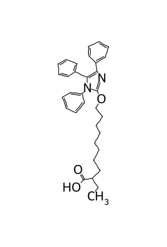 CCC(CCCCCCCCOc1nc(-c2ccccc2)c(-c2ccccc2)n1-c1ccccc1)C(=O)O